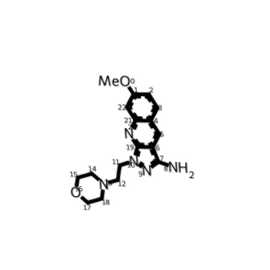 COc1ccc2cc3c(N)nn(CCN4CCOCC4)c3nc2c1